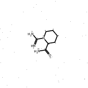 N=C(N)N1CC[CH]CC1C(N)=O